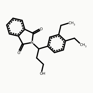 CCc1ccc(C(CCO)N2C(=O)c3ccccc3C2=O)cc1CC